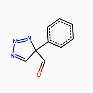 O=CC1(c2ccccc2)C=NN=N1